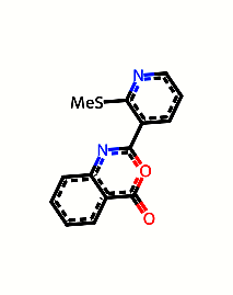 CSc1ncccc1-c1nc2ccccc2c(=O)o1